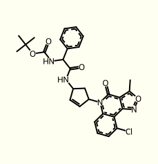 Cc1onc2c1c(=O)n(C1C=CC(NC(=O)C(NC(=O)OC(C)(C)C)c3ccccc3)C1)c1cccc(Cl)c21